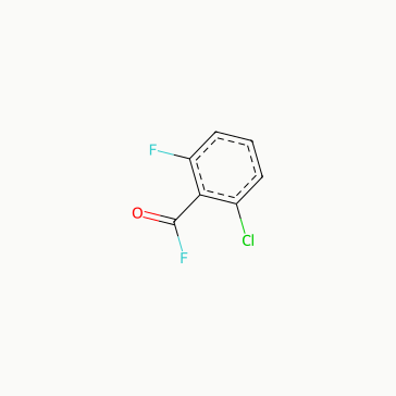 O=C(F)c1c(F)cccc1Cl